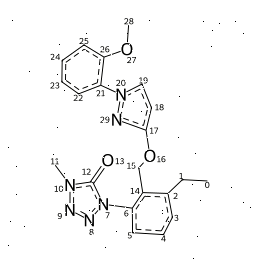 CCc1cccc(-n2nnn(C)c2=O)c1COc1ccn(-c2ccccc2OC)n1